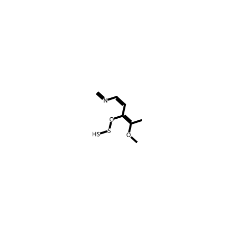 C=N/C=C\C(OSS)=C(/C)OC